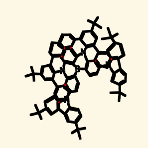 CC(C)(C)c1cc(-c2ccccc2)c(N2c3cc(-n4c5ccc(C(C)(C)C)cc5c5cc(C(C)(C)C)ccc54)ccc3B3c4ccc(-n5c6cc(C(C)(C)C)ccc6c6ccc(C(C)(C)C)cc65)cc4N(c4c(-c5ccccc5)cc(C(C)(C)C)cc4-c4ccccc4)c4cccc2c43)c(-c2ccccc2)c1